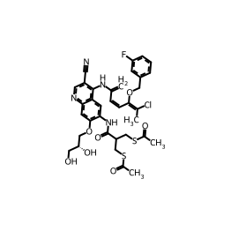 C=C(/C=C\C(OCc1cccc(F)c1)=C(/C)Cl)Nc1c(C#N)cnc2cc(OC[C@H](O)CO)c(NC(=O)C(CSC(C)=O)CSC(C)=O)cc12